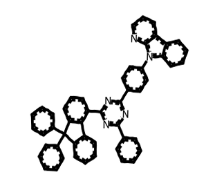 c1ccc(-c2nc(-c3ccc(-n4c5ccccc5c5cccnc54)cc3)nc(-c3cccc4c3-c3ccccc3C4(c3ccccc3)c3ccccc3)n2)cc1